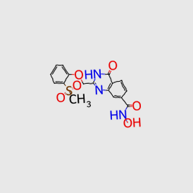 CS(=O)(=O)c1ccccc1OCc1nc2cc(C(=O)NO)ccc2c(=O)[nH]1